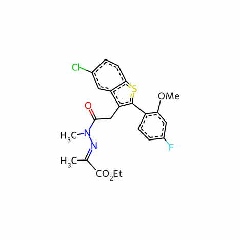 CCOC(=O)C(C)=NN(C)C(=O)Cc1c(-c2ccc(F)cc2OC)sc2ccc(Cl)cc12